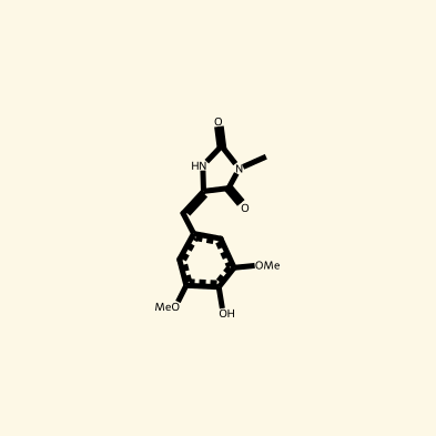 COc1cc(C=C2NC(=O)N(C)C2=O)cc(OC)c1O